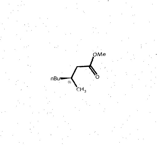 CCCC[C@H](C)CC(=O)OC